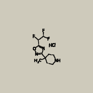 CC1(c2noc(C(F)C(F)F)n2)CCNCC1.Cl